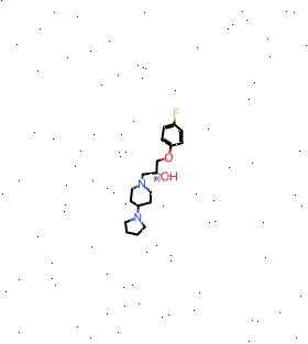 O[C@@H](COc1ccc(F)cc1)CN1CCC(N2CCCC2)CC1